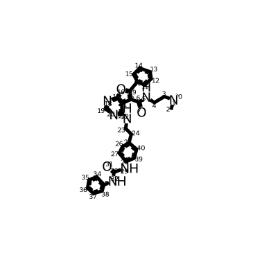 CN(C)CCNC(=O)c1c(-c2ccccc2)oc2ncnc(NCCc3ccc(NC(=O)Nc4ccccc4)cc3)c12